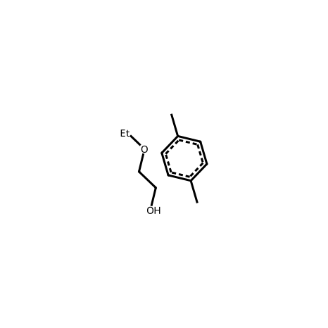 CCOCCO.Cc1ccc(C)cc1